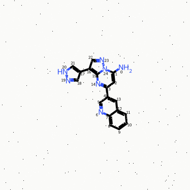 Nc1cc(-c2cnc3ccccc3c2)nc2c(-c3cn[nH]c3)cnn12